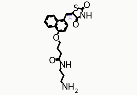 NCCCNC(=O)CCCOc1ccc(/C=C2/SC(=O)NC2=O)c2ccccc12